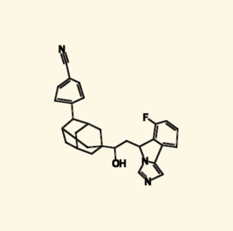 N#Cc1ccc(C2C3CC4CC2CC(C(O)CC2c5c(F)cccc5-c5cncn52)(C4)C3)cc1